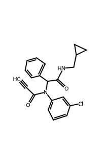 C#CC(=O)N(c1cccc(Cl)c1)C(C(=O)NCC1CC1)c1ccccc1